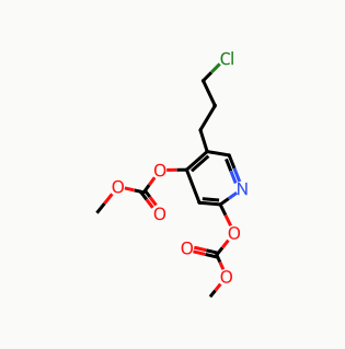 COC(=O)Oc1cc(OC(=O)OC)c(CCCCl)cn1